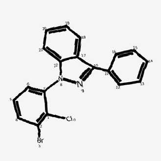 Clc1c(Br)cccc1-n1nc(-c2ccccc2)c2ccccc21